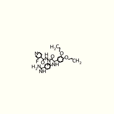 C=CCOc1ccc(C(Nc2ccc(C(=N)N)cc2)C(=O)NNC(=O)c2ccncc2F)cc1OCC=C